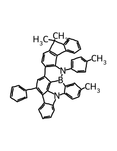 Cc1ccc(N2B3c4cc(C)ccc4-n4c5ccccc5c5c(-c6ccccc6)cc(c3c54)-c3ccc4c(c32)-c2ccccc2C4(C)C)cc1